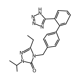 CCc1nn(C(C)C)c(=O)n1Cc1ccc(-c2ccccc2-c2nnn[nH]2)cc1